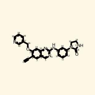 C#Cc1cc2cnc(Nc3cccc(N4CCNC4=O)c3)nc2cc1OCc1cccnc1